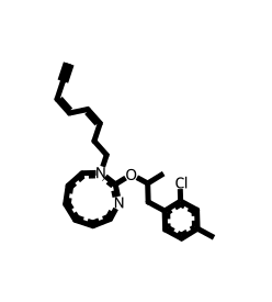 C#C/C=C\C=C/CCn1ccccccnc1OC(C)Cc1ccc(C)cc1Cl